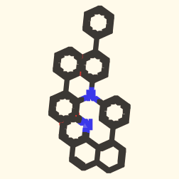 C1=CC(c2cccc(N(c3ccc(-c4ccccc4)cc3)c3ccccc3-c3ccccc3)c2)=C2c3ncccc3C=CC2C1